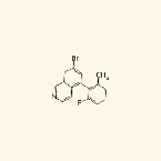 Cc1cccc(F)c1-c1cc(Br)cc2cnccc12